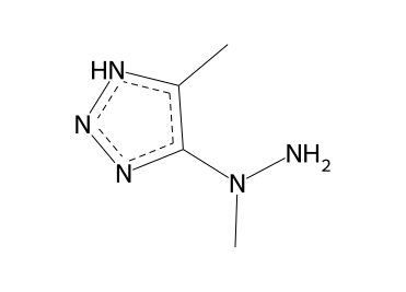 Cc1[nH]nnc1N(C)N